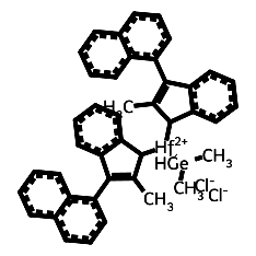 CC1=C(c2cccc3ccccc23)c2ccccc2[CH]1[Hf+2]([CH]1C(C)=C(c2cccc3ccccc23)c2ccccc21)[GeH]([CH3])[CH3].[Cl-].[Cl-]